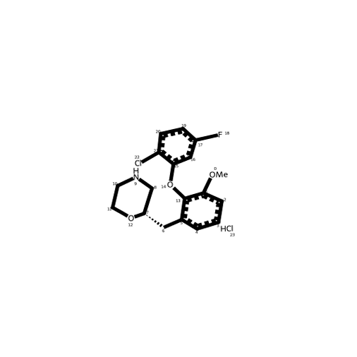 COc1cccc(C[C@H]2CNCCO2)c1Oc1cc(F)ccc1Cl.Cl